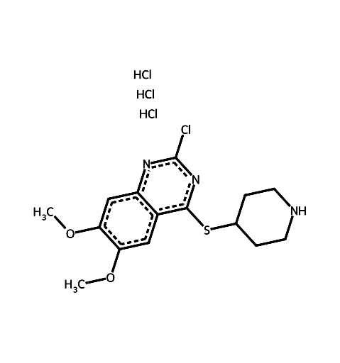 COc1cc2nc(Cl)nc(SC3CCNCC3)c2cc1OC.Cl.Cl.Cl